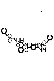 N=C(NC(=O)OCc1ccccc1)c1ccc(C(=O)NC(CC(=O)NCCC(=O)OCc2ccccc2)c2ccccc2)cc1